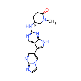 CN1C[C@@H](Nc2ncc3c(-c4cnc5nccn5c4)c[nH]c3n2)CCC1=O